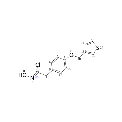 O/N=C(\Cl)Cc1ccc(OCc2ccsc2)cc1